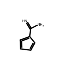 N=C(N)C1=C=CC=C1